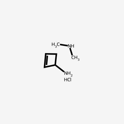 CNC.Cl.NC1C=CC1